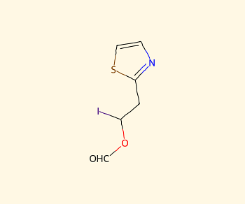 O=COC(I)Cc1nccs1